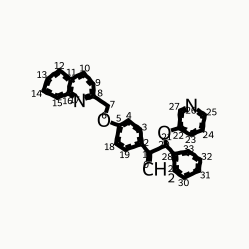 C=C(c1ccc(OCc2ccc3ccccc3n2)cc1)C(Oc1cccnc1)c1ccccc1